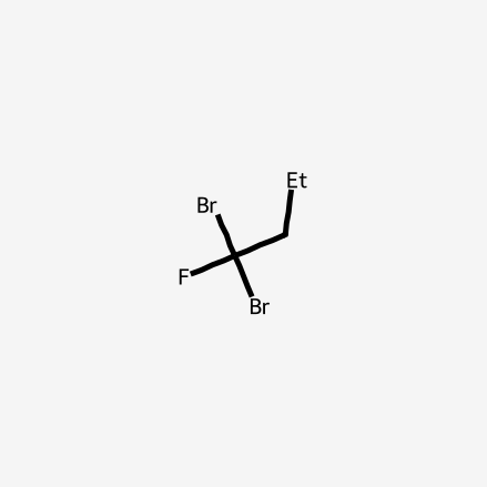 CCCC(F)(Br)Br